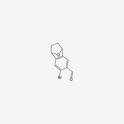 O=Cc1cc2c(cc1Br)C1CCC2O1